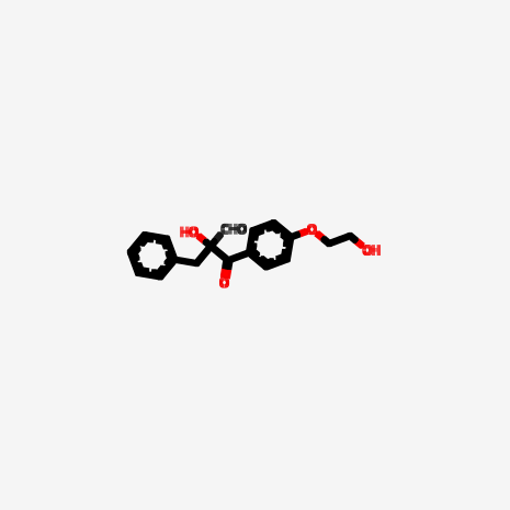 O=CC(O)(Cc1ccccc1)C(=O)c1ccc(OCCO)cc1